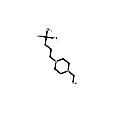 CC(C)C(C)(C)CCCN1CCN(CC(C)(C)C)CC1